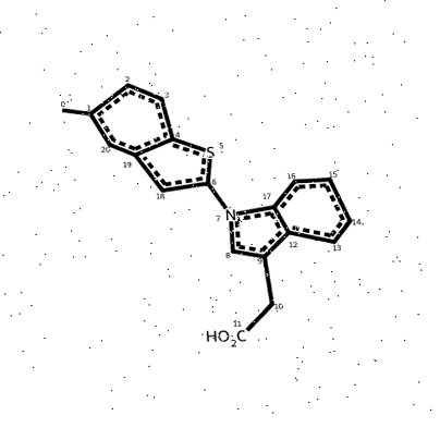 Cc1ccc2sc(-n3cc(CC(=O)O)c4ccccc43)cc2c1